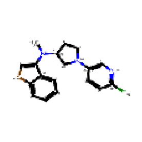 CN(c1csc2ccccc12)[C@H]1CCN(c2ccc(F)nc2)C1